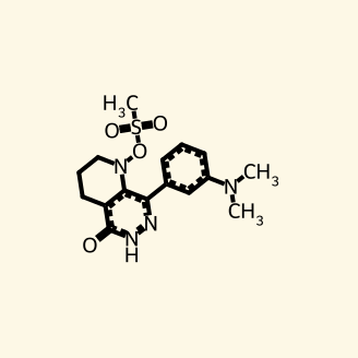 CN(C)c1cccc(-c2n[nH]c(=O)c3c2N(OS(C)(=O)=O)CCC3)c1